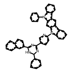 c1ccc(C2N=C(c3ccc(-n4c5ccccc5c5cc6c7ccccc7n(-c7ccccc7)c6cc54)nc3)N=C(c3ccc4ccccc4c3)N2)cc1